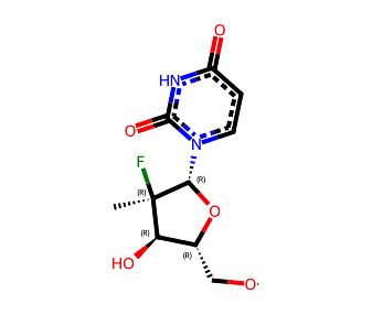 C[C@@]1(F)[C@H](O)[C@@H](C[O])O[C@H]1n1ccc(=O)[nH]c1=O